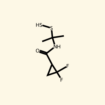 CC(C)(NC(=O)C1CC1(F)F)SS